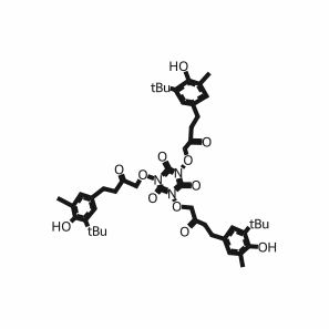 Cc1cc(CCC(=O)COn2c(=O)n(OCC(=O)CCc3cc(C)c(O)c(C(C)(C)C)c3)c(=O)n(OCC(=O)CCc3cc(C)c(O)c(C(C)(C)C)c3)c2=O)cc(C(C)(C)C)c1O